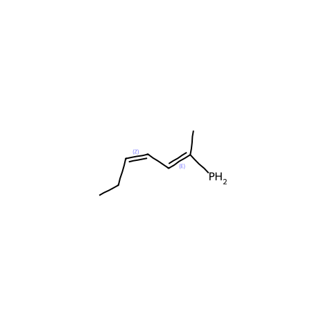 CC/C=C\C=C(/C)P